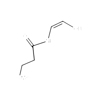 CSCCC(=O)N/C=C\O